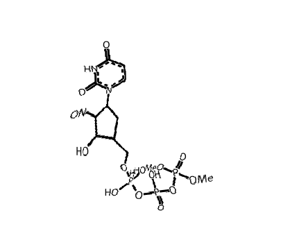 COP(=O)(OC)OP(=O)(O)O[PH](O)(O)OCC1CC(n2ccc(=O)[nH]c2=O)C(N=O)C1O